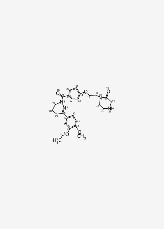 CCOc1cc(C2=NN(C(=O)c3ccc(OCCN4CCNCC4=O)cc3)CCC2)ccc1OC